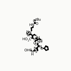 CC(C)(C)OC(=O)NCCCn1nnnc1C1=C(C(=O)O)N2C(=O)C(C=S)(NC(=O)C(=NOC3C=CCC3)c3csc(NC=O)n3)[C@@H]2SC1